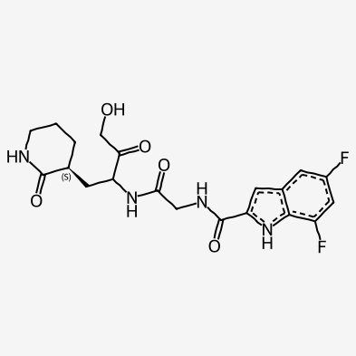 O=C(CNC(=O)c1cc2cc(F)cc(F)c2[nH]1)NC(C[C@@H]1CCCNC1=O)C(=O)CO